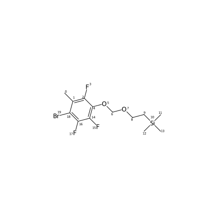 Cc1c(F)c(OCOCC[Si](C)(C)C)c(F)c(F)c1Br